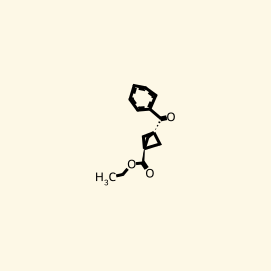 CCOC(=O)[C@]12C[C@@](C(=O)c3ccccc3)(C1)C2